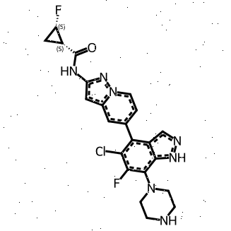 O=C(Nc1cc2cc(-c3c(Cl)c(F)c(N4CCNCC4)c4[nH]ncc34)ccn2n1)[C@@H]1C[C@@H]1F